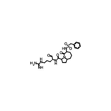 N=C(N)NCCC[C@@H](C=O)NC(=O)C1CCC2CCCC(NS(=O)(=O)Cc3ccccc3)C(=O)N21